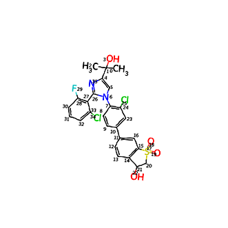 CC(C)(O)c1cn(-c2ccc(-c3ccc4c(c3)S(=O)(=O)CC4O)cc2Cl)c(-c2c(F)cccc2Cl)n1